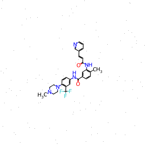 Cc1ccc(C(=O)Nc2ccc(N3CCN(C)CC3)c(C(F)(F)F)c2)cc1NC(=O)C=Cc1cccnc1